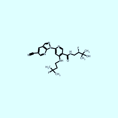 CC(C)(F)CCNc1cc(-n2ncc3cc(C#N)cnc32)ncc1C(=O)NC[C@@H](F)C(C)(C)O